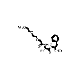 COCCOCCOCC(=O)N[C@H](C(=O)NC(C=O)Cc1ccccc1)C(C)C